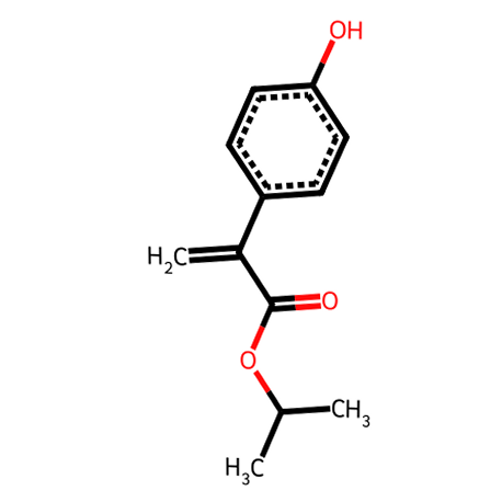 C=C(C(=O)OC(C)C)c1ccc(O)cc1